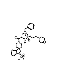 CS(=O)(=O)N1CC2(CCN(C(=O)[C@@H](COCc3ccccc3)NS(=O)(=O)CCCN3CCOCC3)CC2)c2ccccc21